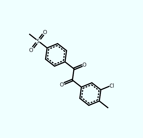 Cc1ccc(C(=O)C(=O)c2ccc(S(C)(=O)=O)cc2)cc1Cl